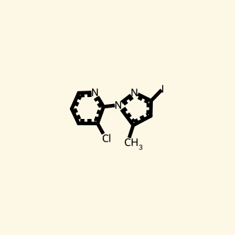 Cc1cc(I)nn1-c1ncccc1Cl